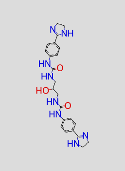 O=C(NCC(O)CNC(=O)Nc1ccc(C2=NCCN2)cc1)Nc1ccc(C2=NCCN2)cc1